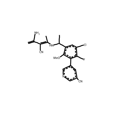 C=C(N)/C(C#N)=C(\C)NC(C)c1cc(Cl)c(F)c(-c2cncc(C#N)c2)c1OC